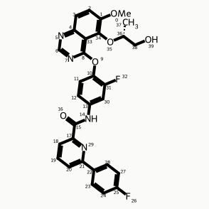 COc1ccc2ncnc(Oc3ccc(NC(=O)c4cccc(-c5ccc(F)cc5)n4)cc3F)c2c1O[C@H](C)CO